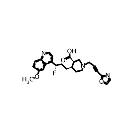 COc1ccc2nccc([C@@H](F)CC[C@@H]3CCN(CC#Cc4ncco4)C[C@@H]3C(=O)O)c2c1